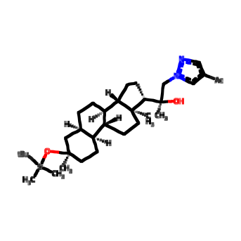 CC(=O)c1cnn(C[C@@](C)(O)[C@H]2CC[C@H]3[C@@H]4CC[C@@H]5C[C@](C)(O[Si](C)(C)C(C)(C)C)CC[C@@H]5[C@H]4CC[C@@]32C)c1